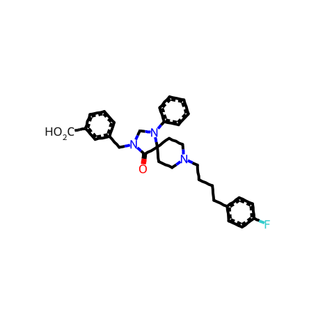 O=C(O)c1cccc(CN2CN(c3ccccc3)C3(CCN(CCCCc4ccc(F)cc4)CC3)C2=O)c1